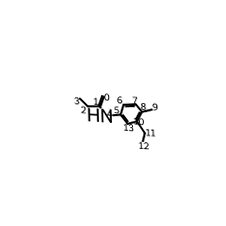 C=C(CC)Nc1ccc(C)c(CC)c1